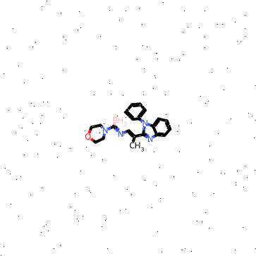 B/C(=N\C=C(/C)c1nc2ccccc2n1-c1ccccc1)N1CCOCC1